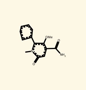 COc1c(C(N)=O)cc(=O)n(C)c1-c1ccccc1